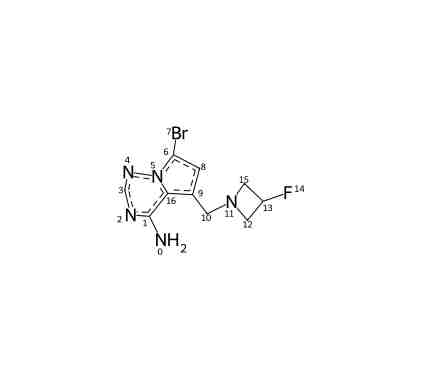 Nc1ncnn2c(Br)cc(CN3CC(F)C3)c12